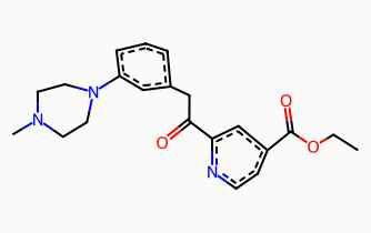 CCOC(=O)c1ccnc(C(=O)Cc2cccc(N3CCN(C)CC3)c2)c1